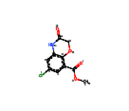 COC(=O)c1cc(Cl)cc2c1OCC(=O)N2